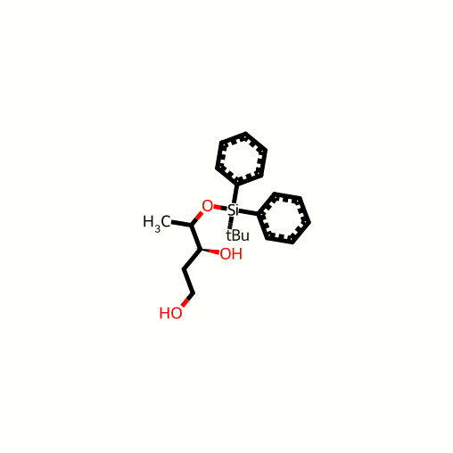 CC(O[Si](c1ccccc1)(c1ccccc1)C(C)(C)C)[C@@H](O)CCO